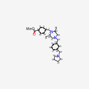 COC(=O)c1ccc(CN2[C@H](C)CN(Cc3cccc(CN4CCCC4)c3)C[C@@H]2C)cc1